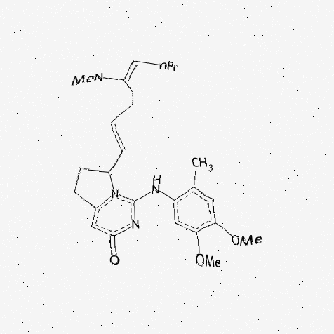 CCC/C=C(\C/C=C/C1CCc2cc(=O)nc(Nc3cc(OC)c(OC)cc3C)n21)NC